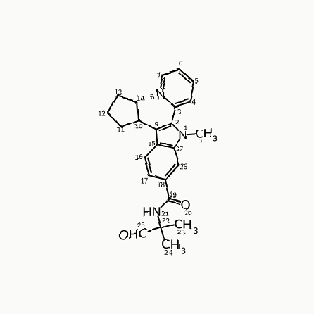 Cn1c(-c2ccccn2)c(C2CCCC2)c2ccc(C(=O)NC(C)(C)C=O)cc21